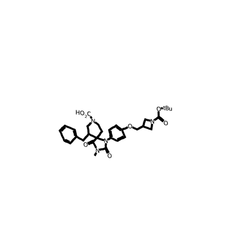 CN1C(=O)N(c2ccc(OCC3CN(C(=O)OC(C)(C)C)C3)cc2)C2(CCN(C(=O)O)CC2Cc2ccccc2)C1=O